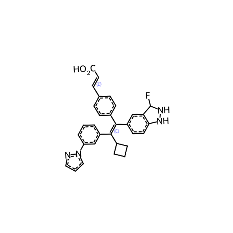 O=C(O)/C=C/c1ccc(/C(=C(\c2cccc(-n3cccn3)c2)C2CCC2)c2ccc3c(c2)C(F)NN3)cc1